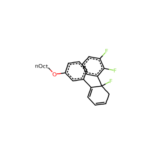 CCCCCCCCOc1cccc(C2=CC=CCC2(F)c2cccc(F)c2F)c1